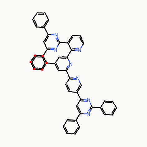 c1ccc(-c2cc(-c3ccc(-c4cc(-c5ccccc5)nc(-c5ccccc5)n4)cn3)nc(-c3ncccc3-c3nc(-c4ccccc4)cc(-c4ccccc4)n3)c2)cc1